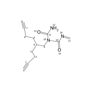 C#CCCC(CCC#C)CN(C(N)=O)C(=O)N=C